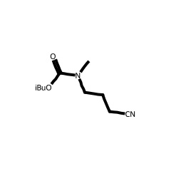 CC(C)COC(=O)N(C)CCCC#N